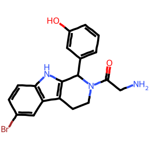 NCC(=O)N1CCc2c([nH]c3ccc(Br)cc23)C1c1cccc(O)c1